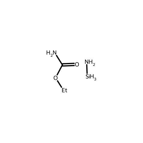 CCOC(N)=O.N[SiH3]